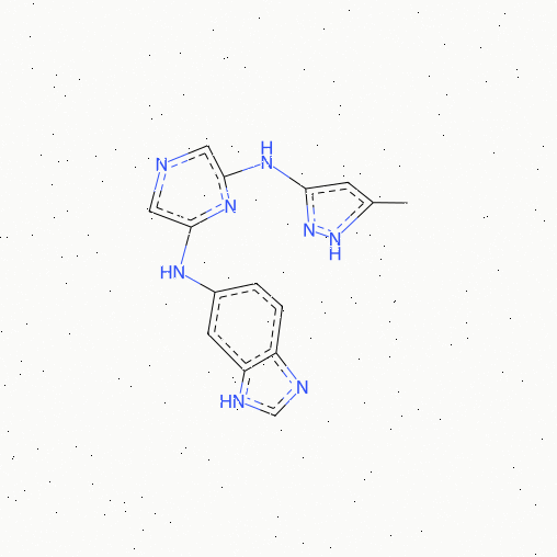 Cc1cc(Nc2cncc(Nc3ccc4nc[nH]c4c3)n2)n[nH]1